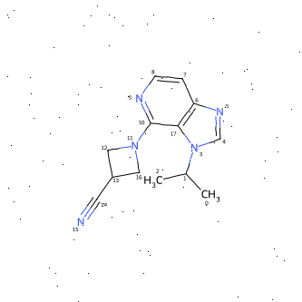 CC(C)n1cnc2ccnc(N3CC(C#N)C3)c21